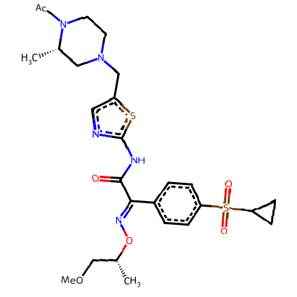 COC[C@@H](C)O/N=C(/C(=O)Nc1ncc(CN2CCN(C(C)=O)[C@@H](C)C2)s1)c1ccc(S(=O)(=O)C2CC2)cc1